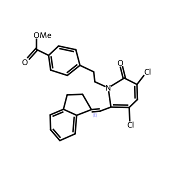 COC(=O)c1ccc(CCn2c(/C=C3\CCc4ccccc43)c(Cl)cc(Cl)c2=O)cc1